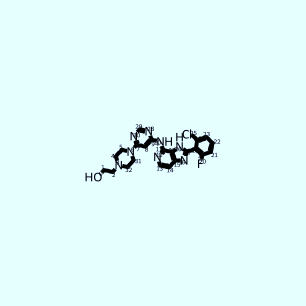 OCCN1CCN(c2cc(Nc3nccc4nc(-c5c(F)cccc5Cl)[nH]c34)ncn2)CC1